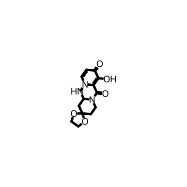 O=C1c2c(O)c(=O)ccn2NC2CC3(CCN12)OCCO3